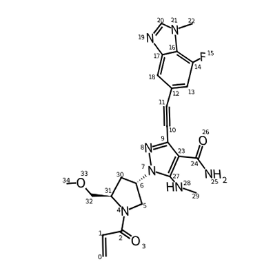 C=CC(=O)N1C[C@@H](n2nc(C#Cc3cc(F)c4c(c3)ncn4C)c(C(N)=O)c2NC)C[C@@H]1COC